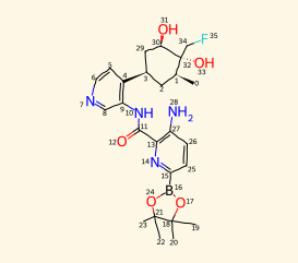 C[C@H]1C[C@@H](c2ccncc2NC(=O)c2nc(B3OC(C)(C)C(C)(C)O3)ccc2N)C[C@@H](O)[C@@]1(O)CF